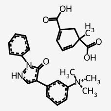 CC1(C(=O)O)C=CC=C(C(=O)O)C1.C[N+](C)(C)c1cccc(-c2c[nH]n(-c3ccccc3)c2=O)c1